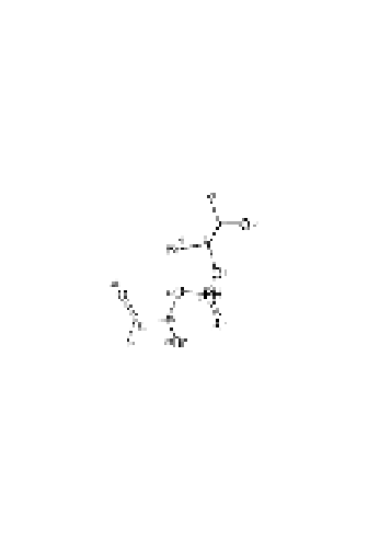 CC(=O)C(Br)O[PH](=O)OC(Br)C(C)=O